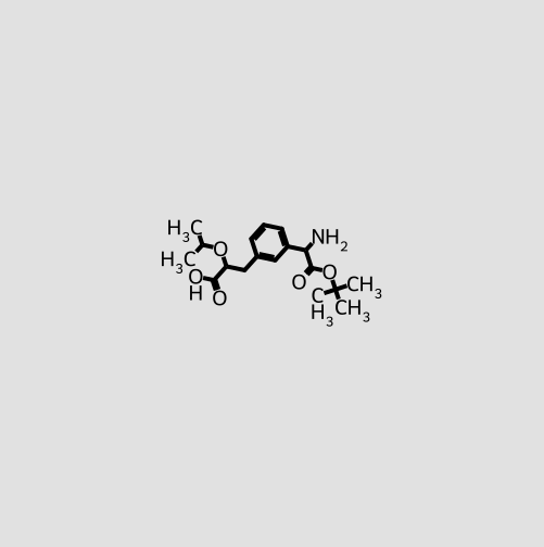 CC(C)OC(Cc1cccc(C(N)C(=O)OC(C)(C)C)c1)C(=O)O